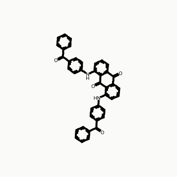 O=C(c1ccccc1)c1ccc(Nc2cccc3c2C(=O)c2c(Nc4ccc(C(=O)c5ccccc5)cc4)cccc2C3=O)cc1